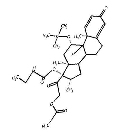 CCNC(=O)O[C@@]1(C(=O)COC(C)=O)[C@@H](C)CC2C3CCC4=CC(=O)C=C[C@]4(C)C3(F)[C@@H](O[Si](C)(C)C)C[C@@]21C